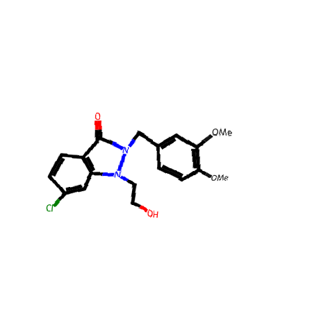 COc1ccc(Cn2c(=O)c3ccc(Cl)cc3n2CCO)cc1OC